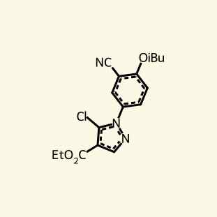 CCOC(=O)c1cnn(-c2ccc(OCC(C)C)c(C#N)c2)c1Cl